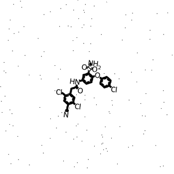 N#Cc1cc(Cl)c(CC(=O)Nc2ccc(Oc3ccc(Cl)cc3)c(S(N)(=O)=O)c2)cc1Cl